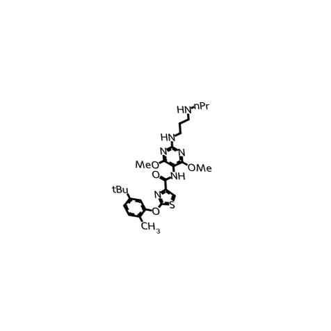 CCCNCCCNc1nc(OC)c(NC(=O)c2csc(Oc3cc(C(C)(C)C)ccc3C)n2)c(OC)n1